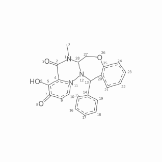 CN1C(=O)c2c(O)c(=O)ccn2N2C(c3ccccc3)c3ccccc3OCC12